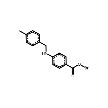 Cc1ccc(CNc2ccc(C(=O)OBr)cc2)cc1